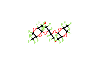 FC(F)(F)C1(F)OC(F)(OC(F)(C(F)(F)F)C(F)(OC2(F)OC(F)(C(F)(F)F)C(F)(F)OC2(F)C(F)(F)F)C(F)(F)F)C(F)(C(F)(F)F)OC1(F)F